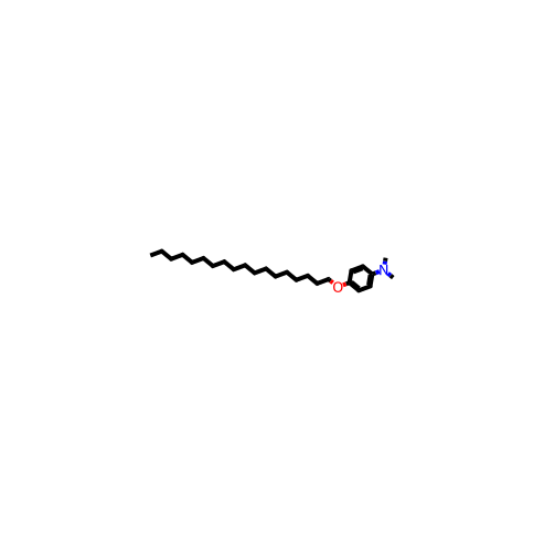 CCCCCCCCCCCCCCCCCCOc1ccc(N(C)C)cc1